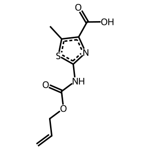 C=CCOC(=O)Nc1nc(C(=O)O)c(C)s1